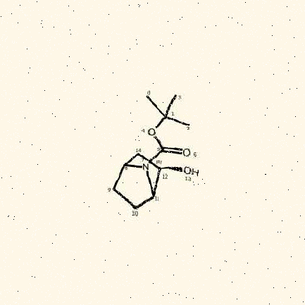 CC(C)(C)OC(=O)N1C2CCC1[C@H](O)C2